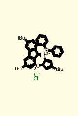 CC1C=C(C(C)(C)C)C=[C]1[Hf+2]([CH]1c2ccc(C(C)(C)C)cc2-c2cc(C(C)(C)C)ccc21)=[Si](c1ccccc1)c1ccccc1.[Cl-].[Cl-]